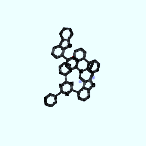 C=C/C=c1/oc2cccc(-c3nc(-c4ccccc4)nc(-c4ccccc4)n3)c2/c1=C/N(c1ccc(-c2cccc3c2oc2ccccc23)cc1)c1ccccc1-c1ccccc1